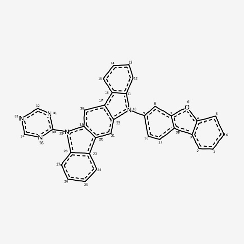 c1ccc2c(c1)oc1cc(-n3c4ccccc4c4cc5c(cc43)c3ccccc3n5-c3ncncn3)ccc12